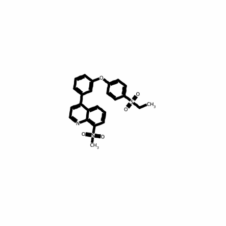 CCS(=O)(=O)c1ccc(Oc2cccc(-c3ccnc4c(S(C)(=O)=O)cccc34)c2)cc1